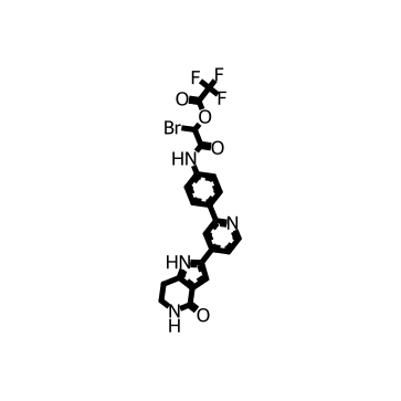 O=C1NCCc2[nH]c(-c3ccnc(-c4ccc(NC(=O)C(Br)OC(=O)C(F)(F)F)cc4)c3)cc21